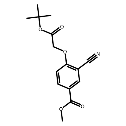 COC(=O)c1ccc(OCC(=O)OC(C)(C)C)c(C#N)c1